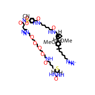 COc1cc(C(C)(C)CCCCCCN=[N+]=[N-])cc(OC)c1[C@H]1C=C(CNC(=O)CCCCCCNC(=O)c2ccc(S(=O)(=O)N(CC#N)C(=O)CCc3cn(CCOCCOCCOCCOCCNC(=O)CCCC[C@@H]4SC[C@@H]5NC(=O)N[C@@H]54)nn3)cc2)[C@H]2C[C@@H]1C2(C)C